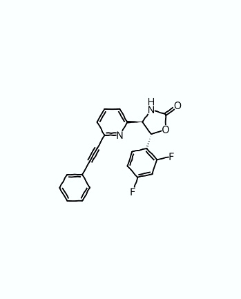 O=C1N[C@H](c2cccc(C#Cc3ccccc3)n2)[C@@H](c2ccc(F)cc2F)O1